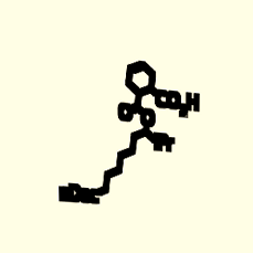 CCCCCCCCCCCCCCCCC(OC(=O)C1CC=CCC1C(=O)O)C(C)C